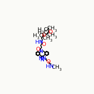 CNCCOCCn1nnc2c1-c1ccccc1CN(C(=O)CCC(=O)NCCC(C)(C)OCC(C)(C)C(=O)C(C)C)c1ccccc1-2